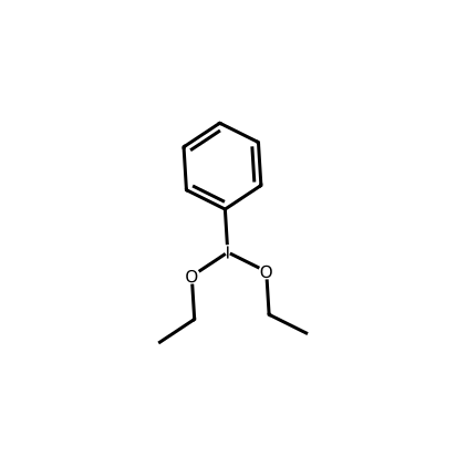 CCOI(OCC)c1ccccc1